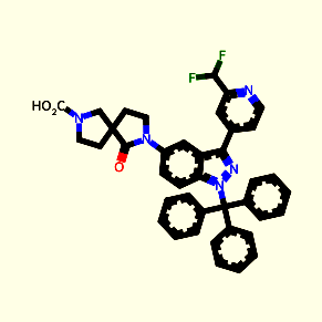 O=C(O)N1CCC2(CCN(c3ccc4c(c3)c(-c3ccnc(C(F)F)c3)nn4C(c3ccccc3)(c3ccccc3)c3ccccc3)C2=O)C1